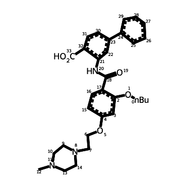 CCCCOc1cc(OCCN2CCN(C)CC2)ccc1C(=O)Nc1cc(-c2ccccc2)ccc1C(=O)O